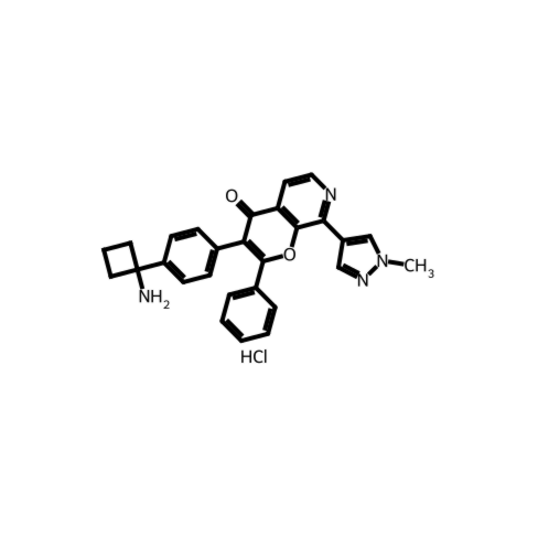 Cl.Cn1cc(-c2nccc3c(=O)c(-c4ccc(C5(N)CCC5)cc4)c(-c4ccccc4)oc23)cn1